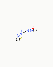 COc1ccccc1N1CCN(CCCCNc2nc3ccccc3s2)CC1